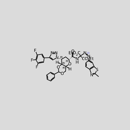 CCOC(=O)C(/N=N\c1ccc2nc(C)sc2c1)(NC(=O)[C@H]1C[C@@H](n2cc(-c3cc(F)c(F)c(F)c3)nn2)[C@H]2OC(c3ccccc3)OC[C@H]2O1)C(=O)OCC